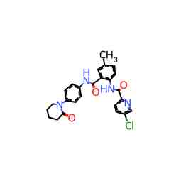 Cc1ccc(NC(=O)c2ccc(Cl)cn2)c(C(=O)Nc2ccc(N3CCCCC3=O)cc2)c1